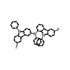 Fc1ccc2c(c1)c1cc(N(c3ccccc3)c3cccc4c5cc(F)ccc5n(-c5ccccc5)c34)ccc1n2-c1ccccc1